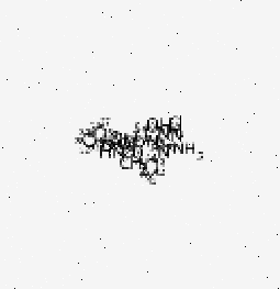 C[C@H](NP(=O)(OC[C@@H]1C[C@@H](O)[C@H](n2cnc3c(N)nc(Cl)nc32)O1)Oc1cccc2ccccc12)C(=O)OCc1ccccc1